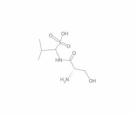 CC(C)C(NC(=O)[C@@H](N)CO)S(=O)(=O)O